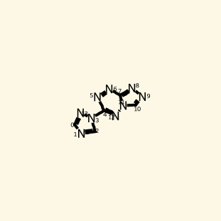 c1ncn(-c2nnc3nncn3n2)n1